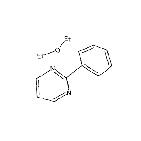 CCOCC.c1ccc(-c2ncccn2)cc1